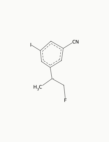 C[C](CF)c1cc(I)cc(C#N)c1